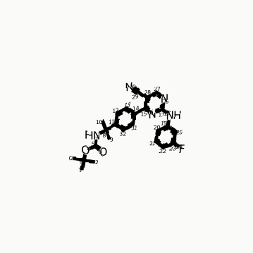 CC(C)(C)OC(=O)NC(C)(C)c1ccc(-c2nc(Nc3cccc(F)c3)ncc2C#N)cc1